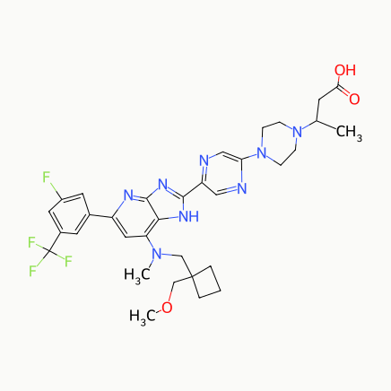 COCC1(CN(C)c2cc(-c3cc(F)cc(C(F)(F)F)c3)nc3nc(-c4cnc(N5CCN(C(C)CC(=O)O)CC5)cn4)[nH]c23)CCC1